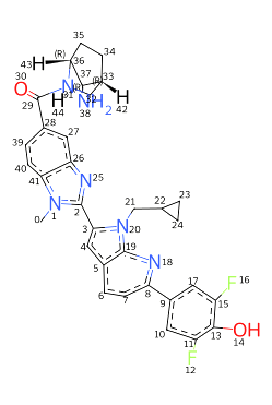 Cn1c(-c2cc3ccc(-c4cc(F)c(O)c(F)c4)nc3n2CC2CC2)nc2cc(C(=O)N3C[C@H]4CC[C@@H]3[C@@H]4N)ccc21